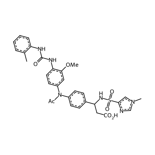 COc1cc(N(C(C)=O)c2ccc(C(CC(=O)O)NS(=O)(=O)c3cn(C)cn3)cc2)ccc1NC(=O)Nc1ccccc1C